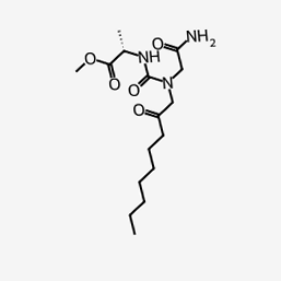 CCCCCCCC(=O)CN(CC(N)=O)C(=O)N[C@@H](C)C(=O)OC